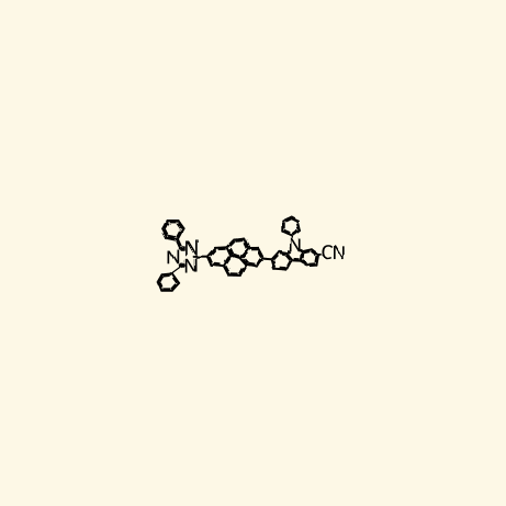 N#Cc1ccc2c3ccc(-c4cc5ccc6cc(-c7nc(-c8ccccc8)nc(-c8ccccc8)n7)cc7ccc(c4)c5c67)cc3n(-c3ccccc3)c2c1